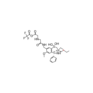 CCCC[C@]1(CC)CS(O)(O)c2cc(CNC(=O)CNCC(=O)OC(=O)C(F)(F)F)c(OC)cc2[C@@H](c2ccccc2)N1